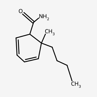 CCCCC1(C)C=CC=CC1C(N)=O